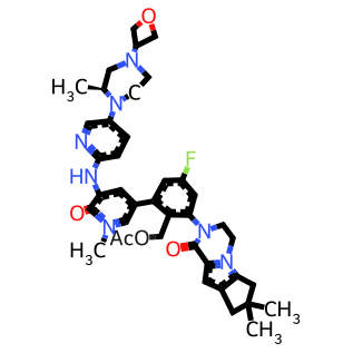 CC(=O)OCc1c(-c2cc(Nc3ccc(N4CCN(C5COC5)C[C@@H]4C)cn3)c(=O)n(C)c2)cc(F)cc1N1CCn2c(cc3c2CC(C)(C)C3)C1=O